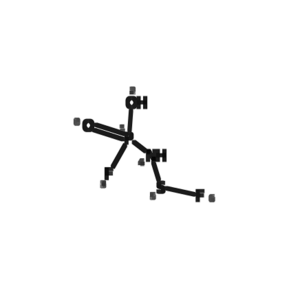 O=P(O)(F)NSF